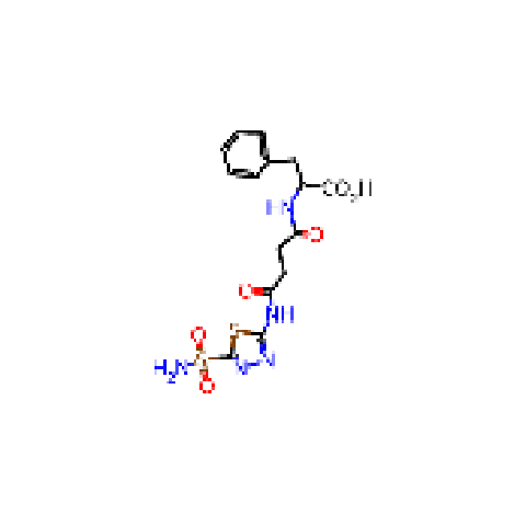 NS(=O)(=O)c1nnc(NC(=O)CCC(=O)NC(Cc2ccccc2)C(=O)O)s1